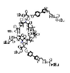 C[n+]1cc(-c2ccc(OC[C@H](O/N=C(\C(=O)N[C@@H]3C(=O)N(OS(=O)(=O)ON4C(=O)[C@@H](NC(=O)/C(=N\O[C@@H](COc5ccc(-c6cn(CCCNC(=O)OC(C)(C)C)[n+](C)c6)cc5)C(=O)OC(C)(C)C)c5nc(NC(=O)OC(C)(C)C)sc5Cl)C4(C)C)C3(C)C)c3nc(NC(=O)OC(C)(C)C)sc3Cl)C(=O)OC(C)(C)C)cc2)cn1CCCNC(=O)OC(C)(C)C